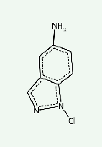 Nc1ccc2c(cnn2Cl)c1